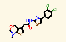 CN1COCc2c(CC(=O)Nc3nc(-c4ccc(Cl)c(Cl)c4)cs3)csc21